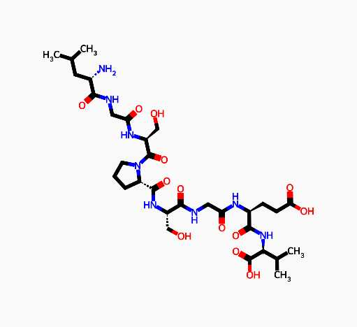 CC(C)C[C@H](N)C(=O)NCC(=O)N[C@@H](CO)C(=O)N1CCC[C@H]1C(=O)N[C@@H](CO)C(=O)NCC(=O)N[C@@H](CCC(=O)O)C(=O)N[C@H](C(=O)O)C(C)C